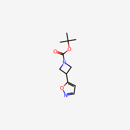 CC(C)(C)OC(=O)N1CC(c2ccno2)C1